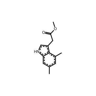 COC(=O)Cc1c[nH]c2cc(C)cc(C)c12